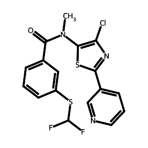 CN(C(=O)c1cccc(SC(F)F)c1)c1sc(-c2cccnc2)nc1Cl